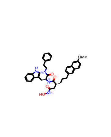 COc1ccc2cc(CCC[C@H](CC(=O)NO)C(=O)N[C@@H](Cc3c[nH]c4ccccc34)C(=O)NCCc3ccccc3)ccc2c1